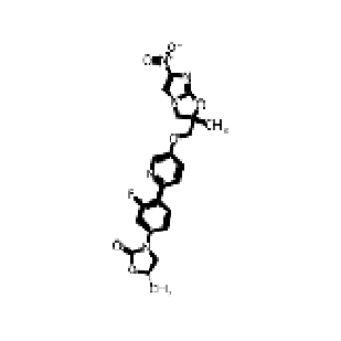 C[C@H]1CN(c2ccc(-c3ccc(OCC4(C)Cn5cc([N+](=O)[O-])nc5O4)cn3)c(F)c2)C(=O)O1